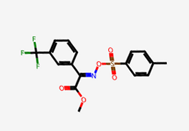 COC(=O)/C(=N/OS(=O)(=O)c1ccc(C)cc1)c1cccc(C(F)(F)F)c1